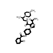 CC(CNC(=O)c1c(C(N)=O)ncn1-c1ccc(NC(=O)c2ccccc2Cl)cc1)N1CCN(C)CC1